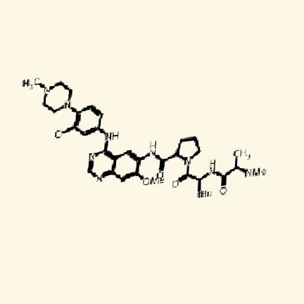 CNC(C)C(=O)NC(C(=O)N1CCCC1C(=O)Nc1cc2c(Nc3ccc(N4CCN(C)CC4)c(Cl)c3)ncnc2cc1OC)C(C)(C)C